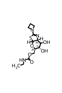 CCNC(=O)OC[C@H]1O[C@@H]2SC(N3CCC3)=N[C@@H]2[C@@H](O)[C@@H]1O